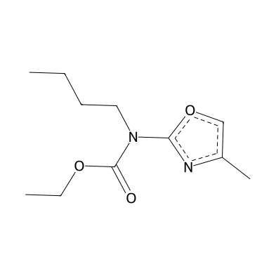 CCCCN(C(=O)OCC)c1nc(C)co1